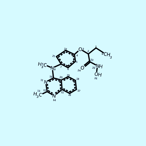 CCC(Oc1ccc(N(C)c2nc(C)nc3ccccc23)cc1)C(=O)NO